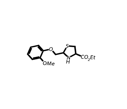 CCOC(=O)C1CSC(COc2ccccc2OC)N1